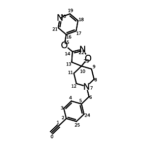 C#Cc1ccc(CN2CCC3(CC2)CC(Oc2cccnc2)=NO3)cc1